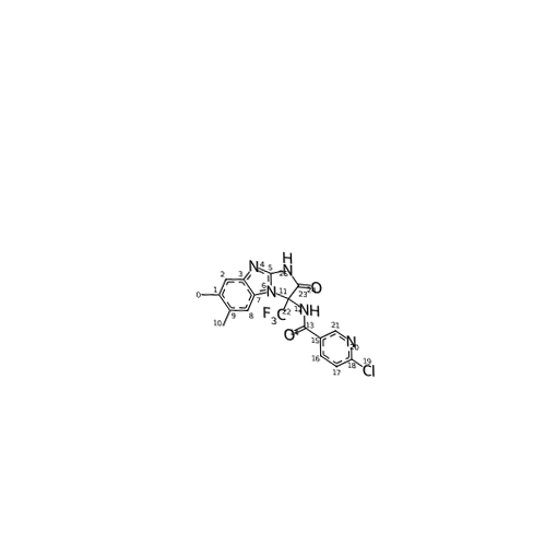 Cc1cc2nc3n(c2cc1C)C(NC(=O)c1ccc(Cl)nc1)(C(F)(F)F)C(=O)N3